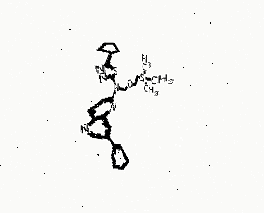 C[Si](C)(C)CCOCN(c1ccc2ncc(-c3ccccc3)cc2n1)c1nnc(C2CCCC2)s1